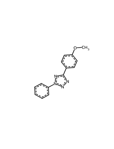 COc1ccc(-c2nnn(-c3ccccc3)n2)cc1